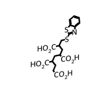 O=C(O)CCC(CC(CC(CSc1nc2ccccc2s1)C(=O)O)C(=O)O)C(=O)O